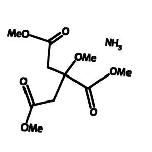 COC(=O)CC(CC(=O)OC)(OC)C(=O)OC.N